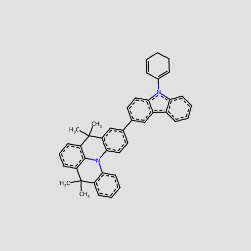 CC1(C)c2ccccc2N2c3ccc(-c4ccc5c(c4)c4ccccc4n5C4=CCCC=C4)cc3C(C)(C)c3cccc1c32